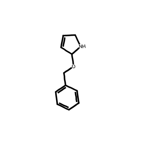 C1=CC(OCc2ccccc2)NC1